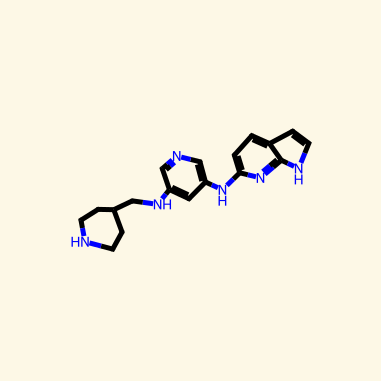 c1cc2ccc(Nc3cncc(NCC4CCNCC4)c3)nc2[nH]1